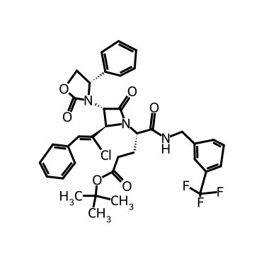 CC(C)(C)OC(=O)CC[C@@H](C(=O)NCc1cccc(C(F)(F)F)c1)N1C(=O)[C@@H](N2C(=O)OC[C@@H]2c2ccccc2)[C@@H]1C(Cl)=Cc1ccccc1